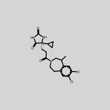 CC1CN(C(=O)CC[C@@]2(C3CC3)NC(=O)NC2=O)CCc2cc(Cl)c(Cl)cc21